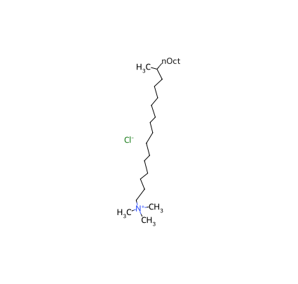 CCCCCCCCC(C)CCCCCCCCCCCCCC[N+](C)(C)C.[Cl-]